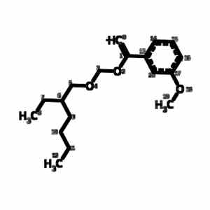 [CH]=C(OCOCC(CC)CCCC)c1cc[c]c(OC)c1